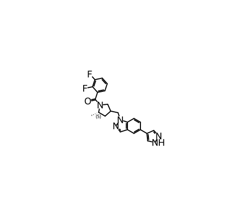 C[C@H]1CC(Cn2ncc3cc(-c4cn[nH]c4)ccc32)CN1C(=O)c1cccc(F)c1F